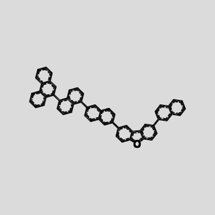 c1ccc2cc(-c3ccc4oc5ccc(-c6ccc7cc(-c8cccc9c(-c%10cc%11ccccc%11c%11ccccc%10%11)cccc89)ccc7c6)cc5c4c3)ccc2c1